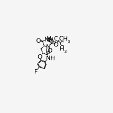 CC(C)(C)OC(=O)N[C@@H](C[C@@H]1Oc2cc(F)ccc2NC1=O)C(N)=O